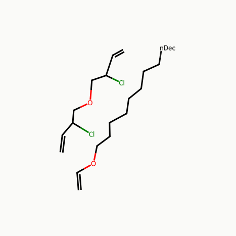 C=CC(Cl)COCC(Cl)C=C.C=COCCCCCCCCCCCCCCCCCC